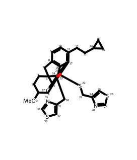 COC1CCC2(CC1)Cc1ccc(CCC3CC3)cc1C21N=C(SCc2cscn2)N(Cc2cscn2)C1=O